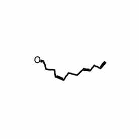 C=CC/C=C/CC/C=C\CCC=O